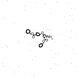 NN1C[C@@H](Oc2ccc(C(=O)OCc3ccccc3)cc2)C[C@H]1C(=O)OCc1ccccc1